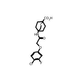 O=C(COc1ccc(Cl)c(F)c1)NC12CCC(C(=O)O)(CC1)CC2